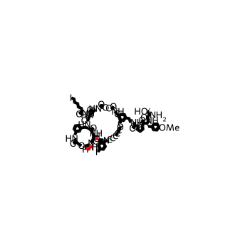 COc1ccc(C[C@H](NC(=O)[C@@H](N)[C@@H](C)O)C(=O)N2CCC[C@@]2(C)C(=O)NCCc2ccc3c(c2)COCCCCCn2cc(c4cc(F)ccc42)C[C@@H]2NC(=O)C(Cc4cccc(c4)CNC(=O)CO[C@H]4CCN(C2=O)[C@@H]4C=O)NC(=O)[C@@H](CNC(=O)CCCCCI)NC(=O)[C@H](C)NC(=O)CCC(=O)NC3)cc1